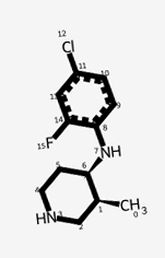 C[C@H]1CNCC[C@H]1Nc1ccc(Cl)cc1F